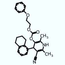 CC1=C(C#N)C(c2cccc3c2CCCC3)C(OC(=O)OCCOc2ccccc2)=C(C)N1